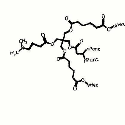 CCCCCCOC(=O)CCCCC(=O)OCC(COC(=O)CCCCC(=O)OCCCCCC)(COC(=O)CCCN(C)C)COC(=O)CC(CCCCC)CCCCC